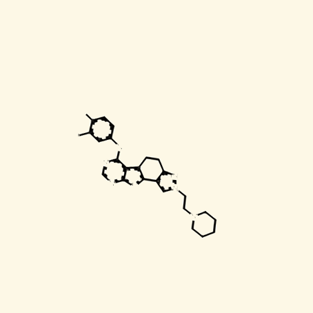 Fc1ccc(Nc2ncnc3sc4c(c23)CCc2nn(CCN3CCCCC3)cc2-4)cc1Cl